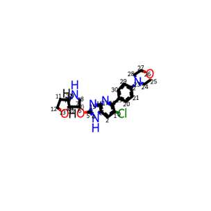 Clc1cc2[nH]c(O[C@@H]3CN[C@@H]4CCO[C@@H]43)nc2nc1-c1ccc(N2CCOCC2)cc1